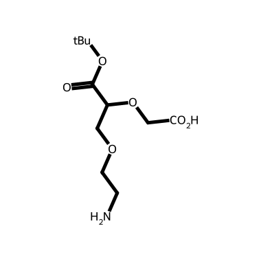 CC(C)(C)OC(=O)C(COCCN)OCC(=O)O